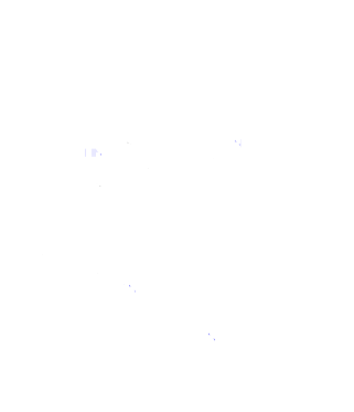 O=c1[nH]c(=O)c2c3cn(ccoccocc[nH]ccn4cc(c1=2)c1ccccc14)c1ccccc31